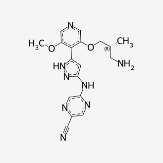 COc1cncc(OC[C@H](C)CN)c1-c1cc(Nc2cnc(C#N)cn2)n[nH]1